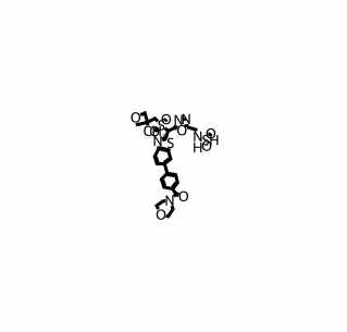 CC1(CS(=O)(=O)C(c2nnc(CN[SH](=O)=O)o2)c2nc3ccc(-c4ccc(C(=O)N5CCOCC5)cc4)cc3s2)COC1